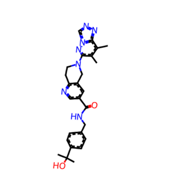 Cc1c(N2CCc3ncc(C(=O)NCc4ccc(C(C)(C)O)cc4)cc3C2)nn2cnnc2c1C